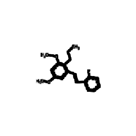 CCCc1c(C=Cc2ccccc2F)cc(OC)cc1OC